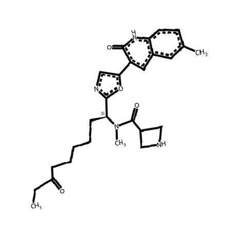 CCC(=O)CCCCC[C@@H](c1ncc(-c2cc3cc(C)ccc3[nH]c2=O)o1)N(C)C(=O)C1CNC1